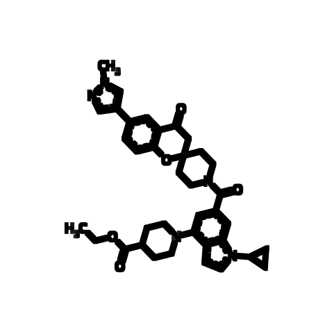 CCOC(=O)C1CCN(c2cc(C(=O)N3CCC4(CC3)CC(=O)c3cc(-c5cnn(C)c5)ccc3O4)cc3c2ccn3C2CC2)CC1